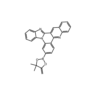 C=C1OB(c2ccc3c4nc5ccccc5cc4c4nc5ccccc5n4c3c2)OC1(C)C